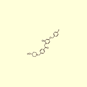 O=C(Cn1ccc(OCc2ccc(F)cc2)cc1=O)c1ccc(CN2CCC(O)CC2)cc1